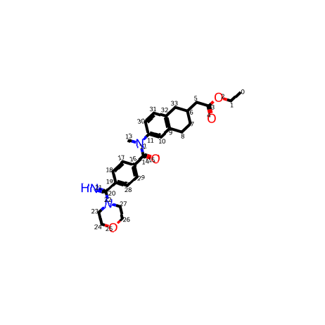 CCOC(=O)CC1CCc2cc(N(C)C(=O)c3ccc(C(=N)N4CCOCC4)cc3)ccc2C1